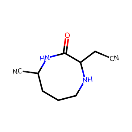 N#CCC1NCCCC(C#N)NC1=O